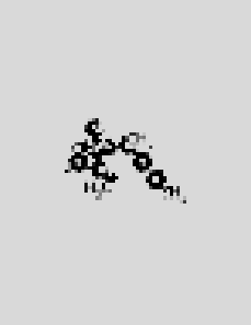 C=CC(CCc1ccc([C@H]2CC[C@@H](C)CC2)cc1)[C@H]1CC2=C(C3=NC(C(C)F)C=C3)[C@H](c3ccc(F)cc3Cl)N=C(c3cccs3)N2C1